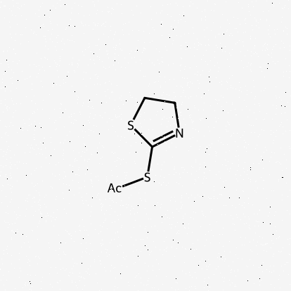 CC(=O)SC1=NCCS1